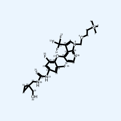 C[Si](C)(C)CCOCn1cc(C(F)(F)F)c2c(Oc3c(F)cc(NC(=S)NCC4(CO)CC4)cc3F)ccnc21